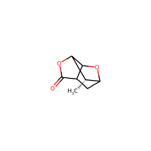 C[C@H]1C2CC3C(=O)OC1C3O2